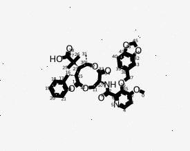 COc1ccnc(C(=O)N[C@H]2COC(=O)[C@H](Cc3ccccc3)[C@H](C(C)(C)C(=O)O)[C@H](C)OC2=O)c1OCc1ccc2c(c1)OCO2